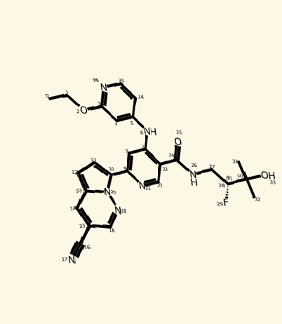 CCOc1cc(Nc2cc(-c3ccc4cc(C#N)cnn34)ncc2C(=O)NC[C@@H](F)C(C)(C)O)ccn1